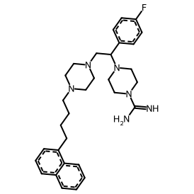 N=C(N)N1CCN(C(CN2CCN(CCCCc3cccc4ccccc34)CC2)c2ccc(F)cc2)CC1